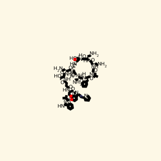 CNC(=O)c1ccccc1Sc1ccc2c(/C=C/c3ccccn3)nn(C(=O)C(CCOC(=O)C(C)C)NC(=O)CCC(=O)N[C@H](C(=O)N[C@H](CCN)C(=O)N[C@H]3CCNC(=O)[C@H]([C@@H](C)O)NC(=O)[C@H](CCN)NC(=O)[C@H](CCN)NC(=O)[C@H](CC(C)C)NC(=O)[C@@H](Cc4ccccc4)NC(=O)[C@H](CCN)NC3=O)[C@@H](C)O)c2c1